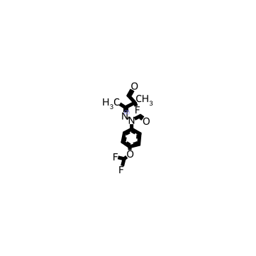 C/C(=N/N(C=O)c1ccc(OC(F)F)cc1)C(C)(F)C=O